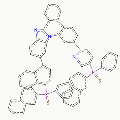 S=P(c1ccccc1)(c1ccc(-c2ccc3c4ccccc4c4nc5ccc(-c6ccc(P(=S)(c7ccccc7)c7ccc8ccccc8c7)c7ccccc67)cc5n4c3c2)nc1)c1ccc2ccccc2c1